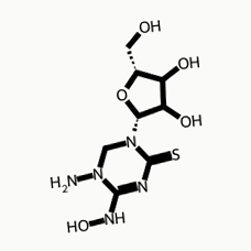 NN1CN([C@@H]2O[C@H](CO)C(O)C2O)C(=S)N=C1NO